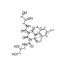 O=C(NCC(O)CO)n1c(=O)n(C(=O)NCC(O)CO)c(=O)n(-c2c(I)cc(I)cc2I)c1=O